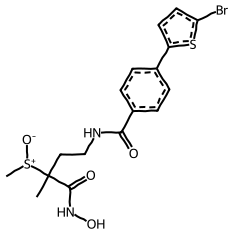 C[S+]([O-])C(C)(CCNC(=O)c1ccc(-c2ccc(Br)s2)cc1)C(=O)NO